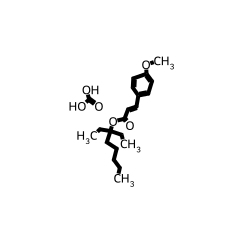 CCCCCC(CC)(CC)OC(=O)C=Cc1ccc(OC)cc1.O=C(O)O